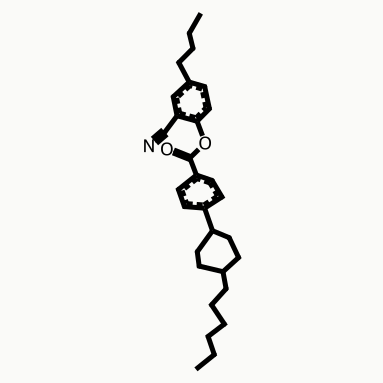 CCCCCCC1CCC(c2ccc(C(=O)Oc3ccc(CCCC)cc3C#N)cc2)CC1